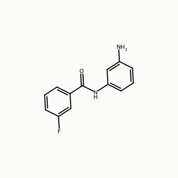 Nc1cccc(NC(=O)c2cccc(F)c2)c1